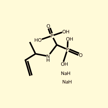 C=CC(C)NC(P(=O)(O)O)P(=O)(O)O.[NaH].[NaH]